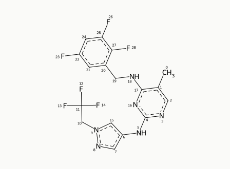 Cc1cnc(Nc2cnn(CC(F)(F)F)c2)nc1NCc1cc(F)cc(F)c1F